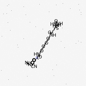 C/C(=C\C(=O)NCCOCCOCCOCCOCCNC(=O)CCCC[C@@H]1SC[C@@H]2NC(=O)N[C@@H]21)c1ccc2cc(N=[N+]=[N-])c(C#N)cc2c1